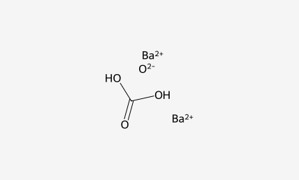 O=C(O)O.[Ba+2].[Ba+2].[O-2]